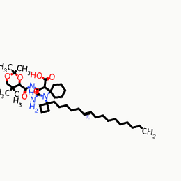 CCCCCCCCC/C=C/CCCCCC1(N(C(N)=O)C2(C(CNC(=O)C3OC(C)(C)OCC3(C)C)C(=O)O)CCCCC2)CCC1